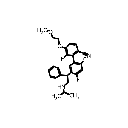 COCCOc1ccc(C#N)c(-c2cc(C(CNC(C)C)c3ccccc3)c(F)cc2Cl)c1F